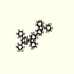 c1ccc(-c2cc(-c3ccccc3)nc(-n3c4ccccc4c4cc(-c5ccc6c(c5)c5ccccc5p6-c5ccccc5)ccc43)n2)cc1